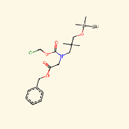 CC(C)(CO[Si](C)(C)C(C)(C)C)CN(CC(=O)OCc1ccccc1)C(=O)OCCl